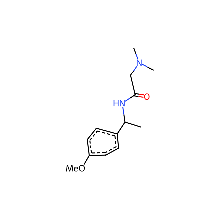 COc1ccc(C(C)NC(=O)CN(C)C)cc1